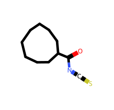 O=C(N=C=S)C1CCCCCCCC1